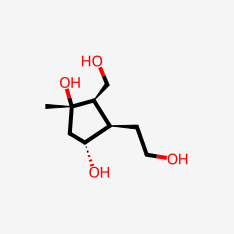 C[C@]1(O)C[C@@H](O)[C@H](CCO)[C@@H]1CO